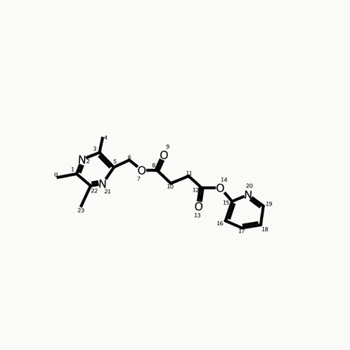 Cc1nc(C)c(COC(=O)CCC(=O)Oc2ccccn2)nc1C